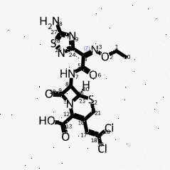 CCO/N=C(\C(=O)NC1C(=O)N2C(C(=O)O)=C(C=C(Cl)Cl)CS[C@H]12)c1nsc(N)n1